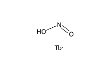 O=NO.[Tb]